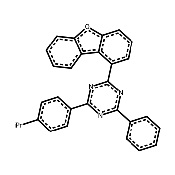 CC(C)c1ccc(-c2nc(-c3ccccc3)nc(-c3cccc4oc5ccccc5c34)n2)cc1